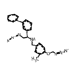 Cc1cc(CNC(CN=[N+]=[N-])c2cccc(-c3ccccc3)c2)ccc1OCN=[N+]=[N-]